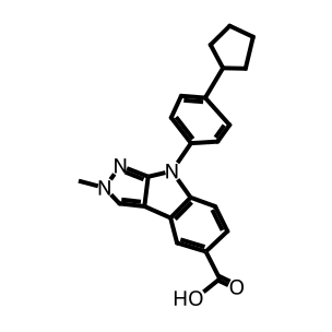 Cn1cc2c3cc(C(=O)O)ccc3n(-c3ccc(C4CCCC4)cc3)c2n1